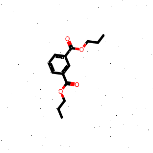 CCCOC(=O)c1[c]ccc(C(=O)OCCC)c1